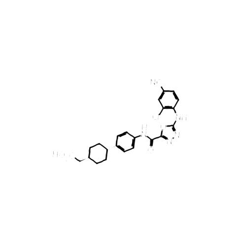 N#Cc1ccc(Nc2nnc(C(=O)Nc3ccc([C@H]4CC[C@H](CC(=O)O)CC4)cc3)o2)c(Cl)c1